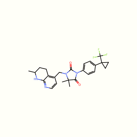 CC1CCc2c(CN3C(=O)N(c4ccc(C5(C(F)(F)F)CC5)cc4)C(=O)C3(C)C)ccnc2N1